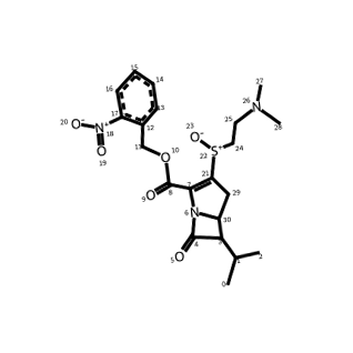 CC(C)C1C(=O)N2C(C(=O)OCc3ccccc3[N+](=O)[O-])=C([S+]([O-])CCN(C)C)CC12